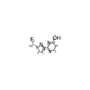 Oc1ccnc(-n2ccc(CF)n2)n1